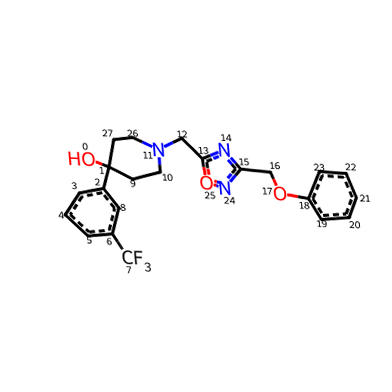 OC1(c2cccc(C(F)(F)F)c2)CCN(Cc2nc(COc3ccccc3)no2)CC1